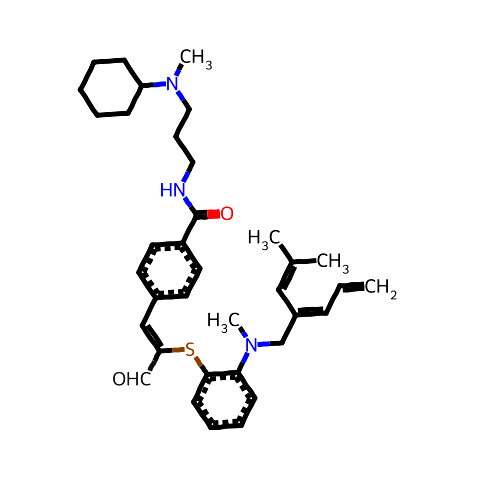 C=C/C=C(\C=C(C)C)CN(C)c1ccccc1S/C(C=O)=C\c1ccc(C(=O)NCCCN(C)C2CCCCC2)cc1